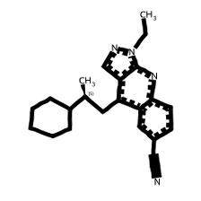 CCn1ncc2c(C[C@H](C)C3CCCCC3)c3cc(C#N)ccc3nc21